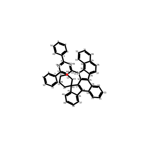 c1ccc(-c2nc(-c3ccccc3)nc(-n3c4c5c(c6ccccc6c4c4ccc6ccccc6c43)-c3ccccc3C53CCCCC3)n2)cc1